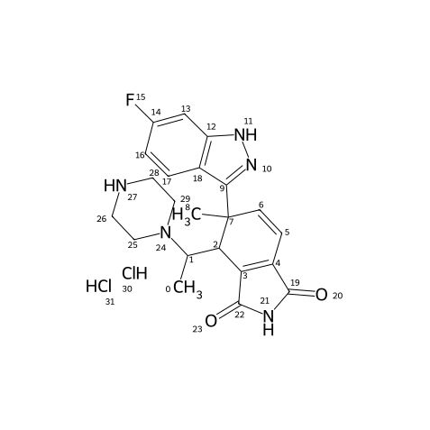 CC(C1C2=C(C=CC1(C)c1n[nH]c3cc(F)ccc13)C(=O)NC2=O)N1CCNCC1.Cl.Cl